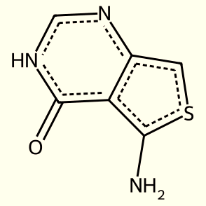 Nc1scc2nc[nH]c(=O)c12